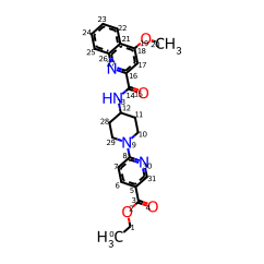 CCOC(=O)c1ccc(N2CCC(NC(=O)c3cc(OC)c4ccccc4n3)CC2)nc1